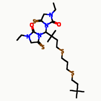 CCN1CC(=S)N(C(N2C(=O)N(CC)CC2=S)C(C)(C)CCSCCCSCCC(C)(C)C)C1=O